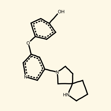 Oc1ccc(Oc2cncc(N3CCC4(CCCN4)C3)c2)cc1